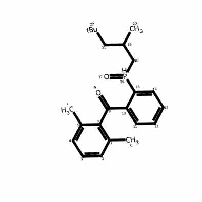 Cc1cccc(C)c1C(=O)c1ccccc1[PH](=O)CC(C)CC(C)(C)C